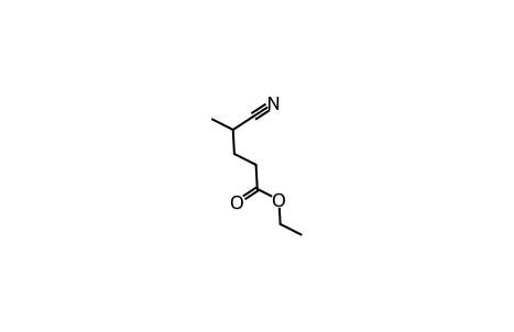 CCOC(=O)CCC(C)C#N